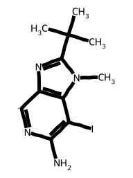 Cn1c(C(C)(C)C)nc2[c]nc(N)c(I)c21